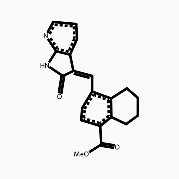 COC(=O)c1ccc(C=C2C(=O)Nc3ncccc32)c2c1CCCC2